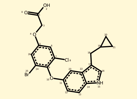 O=C(O)COc1cc(Cl)c(Oc2ccc3[nH]cc(CC4CC4)c3c2)c(Br)c1